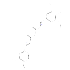 COc1cc(/C=C/C(=O)CC(=O)/C=C/c2cc(OC)c(O)c(OC)c2)ccc1O